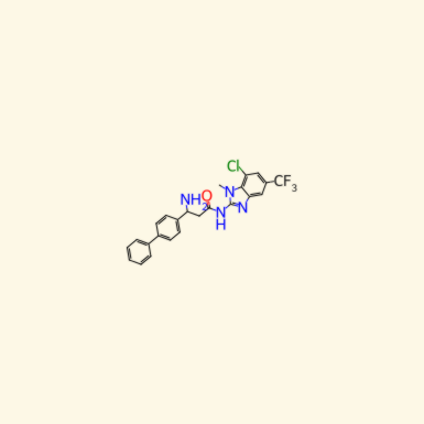 Cn1c(NC(=O)CC(N)c2ccc(-c3ccccc3)cc2)nc2cc(C(F)(F)F)cc(Cl)c21